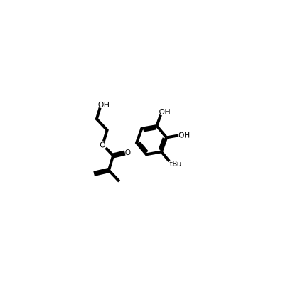 C=C(C)C(=O)OCCO.CC(C)(C)c1cccc(O)c1O